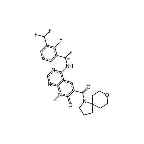 C[C@@H](Nc1ncnc2c1cc(C(=O)N1CCCC13CCOCC3)c(=O)n2C)c1cccc(C(F)F)c1F